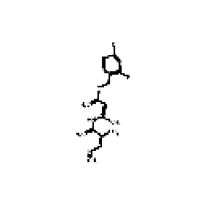 C=N/C=C(/C)C(=C)N/C(C)=C\C(=C)OCc1ncc(F)cc1F